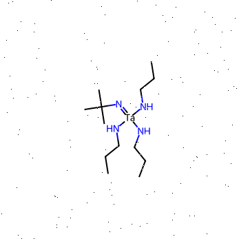 CCC[NH][Ta](=[N]C(C)(C)C)([NH]CCC)[NH]CCC